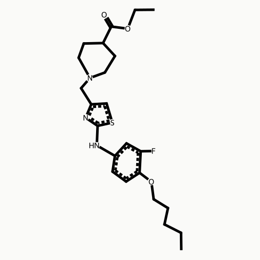 CCCCCOc1ccc(Nc2nc(CN3CCC(C(=O)OCC)CC3)cs2)cc1F